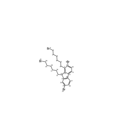 BrCCCCCCc1c(Br)ccc2c1C(CCCCCCBr)c1cc(Br)ccc1-2